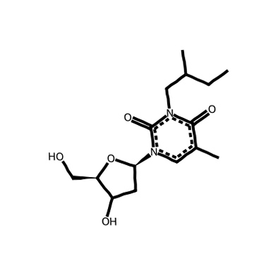 CCC(C)Cn1c(=O)c(C)cn([C@H]2CC(O)[C@@H](CO)O2)c1=O